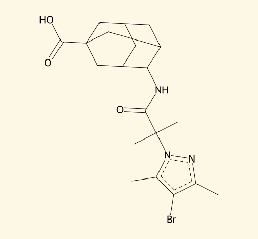 Cc1nn(C(C)(C)C(=O)NC2C3CC4CC2CC(C(=O)O)(C4)C3)c(C)c1Br